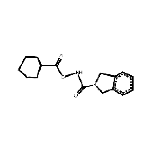 O=C(ONC(=O)N1Cc2ccccc2C1)C1CCCCC1